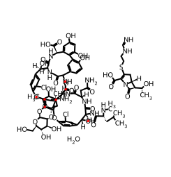 CN[C@H](CC(C)C)C(=O)N[C@H]1C(=O)N[C@@H](CC(N)=O)C(=O)N[C@H]2C(=O)N[C@H]3C(=O)N[C@H](C(=O)N[C@@H](C(=O)O)c4cc(O)cc(O)c4-c4cc3ccc4O)[C@H](O)c3ccc(c(Cl)c3)Oc3cc2cc(c3O[C@@H]2O[C@H](CO)[C@@H](O)[C@H](O)[C@H]2O[C@H]2C[C@](C)(N)C(O)[C@H](C)O2)Oc2ccc(cc2Cl)[C@H]1O.C[C@@H](O)[C@H]1C(=O)N2C(C(=O)O)=C(SCCNC=N)C[C@H]12.O